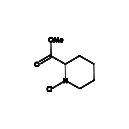 COC(=O)C1CCCCN1Cl